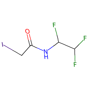 O=C(CI)NC(F)C(F)F